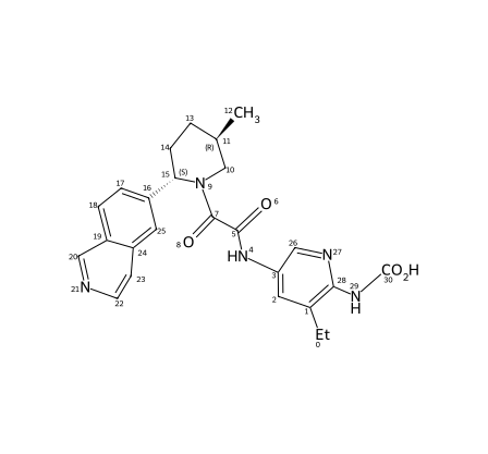 CCc1cc(NC(=O)C(=O)N2C[C@H](C)CC[C@H]2c2ccc3cnccc3c2)cnc1NC(=O)O